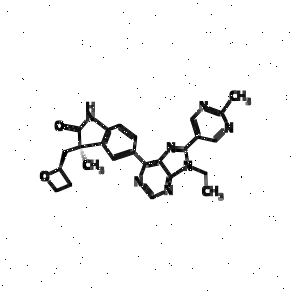 CCn1c(-c2cnc(C)nc2)nc2c(-c3ccc4c(c3)[C@@](C)(C[C@H]3CCO3)C(=O)N4)ncnc21